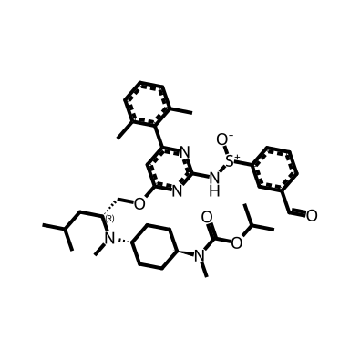 Cc1cccc(C)c1-c1cc(OC[C@@H](CC(C)C)N(C)[C@H]2CC[C@H](N(C)C(=O)OC(C)C)CC2)nc(N[S+]([O-])c2cccc(C=O)c2)n1